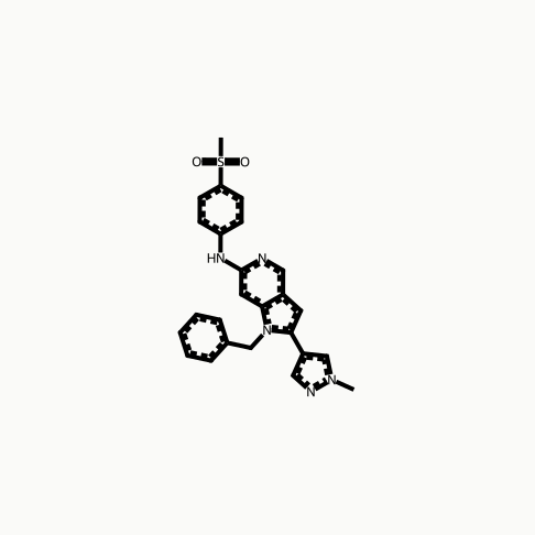 Cn1cc(-c2cc3cnc(Nc4ccc(S(C)(=O)=O)cc4)cc3n2Cc2ccccc2)cn1